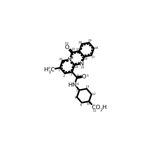 Cc1cc(C(=O)NC2CCC(C(=O)O)CC2)c2nc3ccccc3c(=O)n2c1